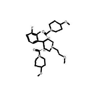 COCCN1C[C@H](C(=O)N2CCC(OC)CC2)C(c2cccc(F)c2C)[C@H](C(=O)N2CCC(OC)CC2)C1